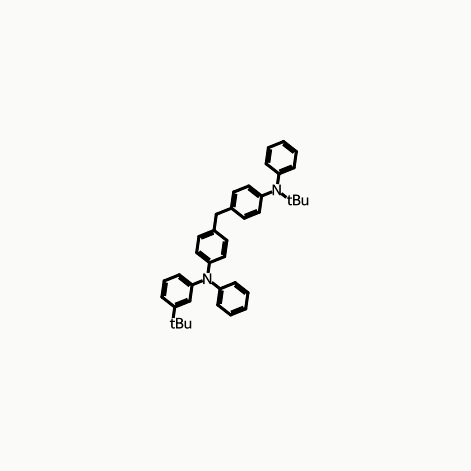 CC(C)(C)c1cccc(N(c2ccccc2)c2ccc(Cc3ccc(N(c4ccccc4)C(C)(C)C)cc3)cc2)c1